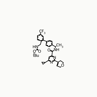 C[C@@H](NC(=O)c1cc(C2CC2)nc(C2=CCOCC2)n1)c1ccc(-c2cc(C(F)(F)F)ccc2CNC(=O)OC(C)(C)C)cc1